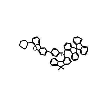 CC1(C)c2ccccc2-c2c(N(c3ccc(-c4ccc5oc6c(C7CCCCC7)cccc6c5c4)cc3)c3cccc4c3-c3ccccc3C43c4ccccc4-c4ccccc43)cccc21